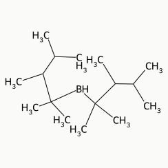 CC(C)C(C)C(C)(C)BC(C)(C)C(C)C(C)C